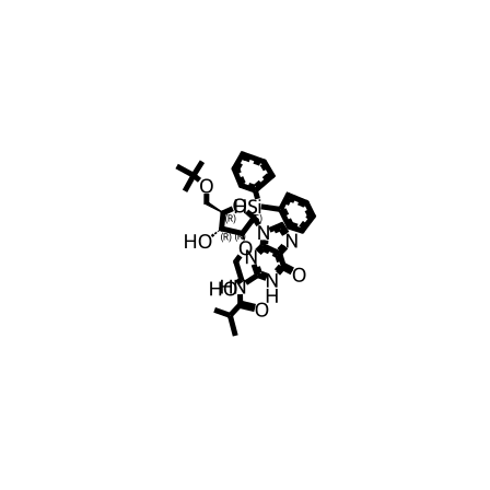 CC(C)C(=O)Nc1nc2c(ncn2[C@]2([SiH](c3ccccc3)c3ccccc3)O[C@H](COC(C)(C)C)[C@@H](O)[C@H]2OCCO)c(=O)[nH]1